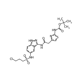 CC(C)(C)OC(=O)Nc1nc(CC(=O)Nc2n[nH]c3ccc(NS(=O)(=O)CCCCl)cc23)cs1